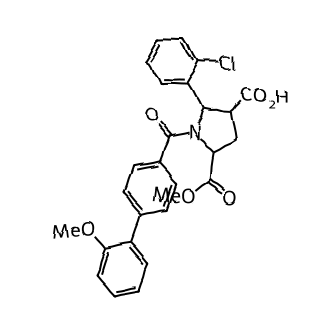 COC(=O)C1CC(C(=O)O)C(c2ccccc2Cl)N1C(=O)c1ccc(-c2ccccc2OC)cc1